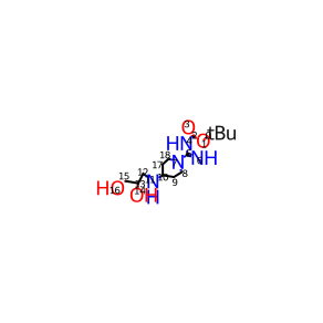 CC(C)(C)OC(=O)NC(=N)N1CCC(NCC(O)CO)CC1